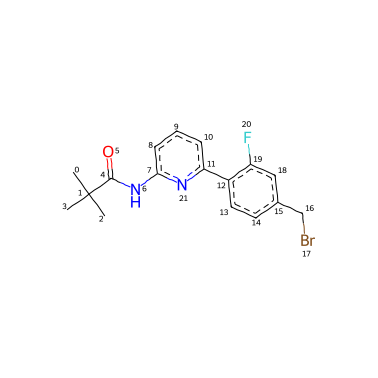 CC(C)(C)C(=O)Nc1cccc(-c2ccc(CBr)cc2F)n1